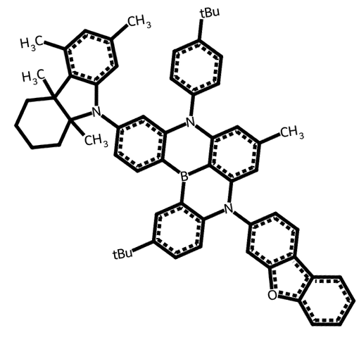 Cc1cc2c3c(c1)N(c1ccc(C(C)(C)C)cc1)c1cc(N4c5cc(C)cc(C)c5C5(C)CCCCC45C)ccc1B3c1cc(C(C)(C)C)ccc1N2c1ccc2c(c1)oc1ccccc12